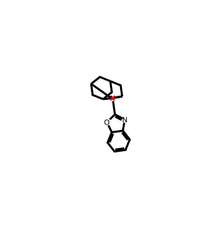 c1ccc2oc(N3C4CC5CC(C4)CC3C5)nc2c1